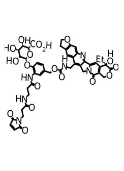 CC[C@@]1(O)C(=O)OCc2c1cc1n(c2=O)Cc2c-1nc1cc3c(cc1c2CNC(=O)OCc1ccc(O[C@@H]2O[C@H](C(=O)O)[C@@H](O)[C@H](O)[C@H]2O)c(NC(=O)CCNC(=O)CCN2C(=O)C=CC2=O)c1)CCO3